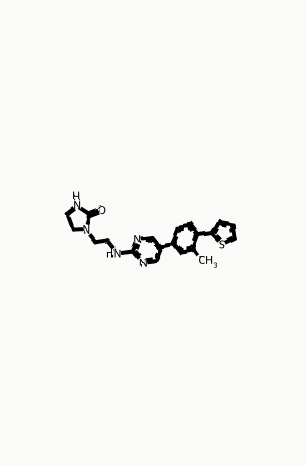 Cc1cc(-c2cnc(NCCN3CCNC3=O)nc2)ccc1-c1cccs1